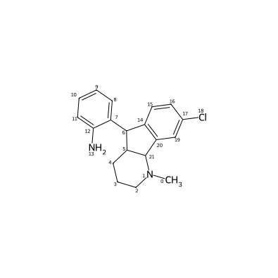 CN1CCCC2C(c3ccccc3N)c3ccc(Cl)cc3C21